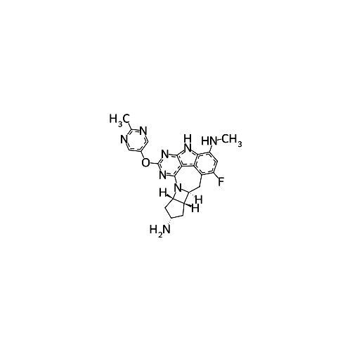 CNc1cc(F)c2c3c1[nH]c1nc(Oc4cnc(C)nc4)nc(c13)N1[C@@H](C2)[C@@H]2C[C@H](N)C[C@@H]21